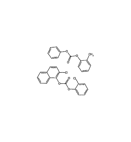 Cc1ccccc1OC(=O)Oc1ccccc1.O=C(Oc1ccccc1Cl)Oc1c(Cl)ccc2ccccc12